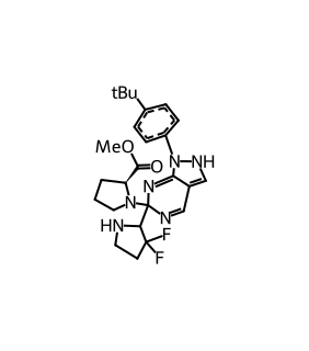 COC(=O)[C@@H]1CCCN1C1(C2NCCC2(F)F)N=CC2=CNN(c3ccc(C(C)(C)C)cc3)C2=N1